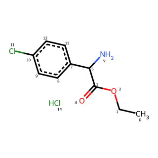 CCOC(=O)C(N)c1ccc(Cl)cc1.Cl